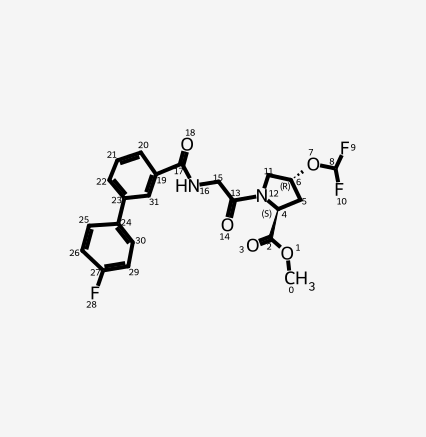 COC(=O)[C@@H]1C[C@@H](OC(F)F)CN1C(=O)CNC(=O)c1cccc(-c2ccc(F)cc2)c1